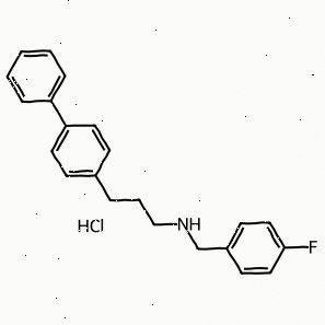 Cl.Fc1ccc(CNCCCc2ccc(-c3ccccc3)cc2)cc1